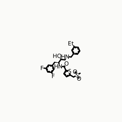 CCc1cccc(CNC[C@H](O)[C@H](Cc2cc(F)cc(F)c2)NC(=O)c2ccc(CS(C)(=O)=O)s2)c1